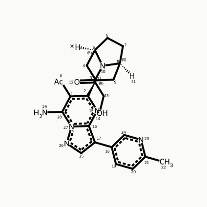 CC(=O)c1c([C@H]2C[C@H]3CC[C@@H](C2)N3C(=O)CO)nc2c(-c3ccc(C)nc3)cnn2c1N